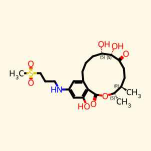 C[C@@H]1CCC(=O)[C@@H](O)[C@@H](O)CCCc2cc(NCCCS(C)(=O)=O)cc(O)c2C(=O)O[C@H]1C